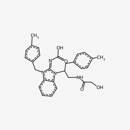 Cc1ccc(CC(CNC(=O)CO)n2c(=NC(=O)O)n(Cc3ccc(C)cc3)c3ccccc32)cc1